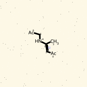 CC(=O)/C=C(\C)NCC(C)=O